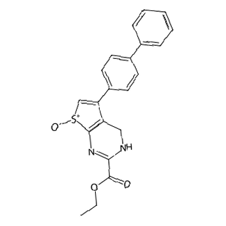 CCOC(=O)C1=Nc2c(c(-c3ccc(-c4ccccc4)cc3)c[s+]2[O-])CN1